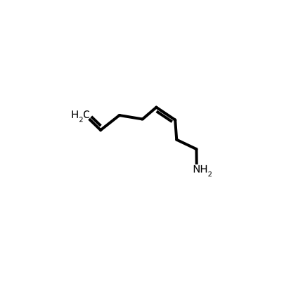 C=CCC/C=C\CCN